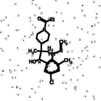 C=NNc1c(C)cc(Cl)cc1[C@@H](O)C(C)(C)C1CCN(C(=O)CC)CC1